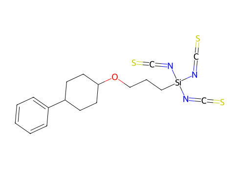 S=C=N[Si](CCCOC1CCC(c2ccccc2)CC1)(N=C=S)N=C=S